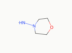 [NH]N1CCOCC1